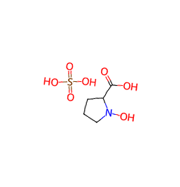 O=C(O)C1CCCN1O.O=S(=O)(O)O